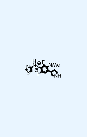 CNc1c(C2CCNC2)cc(F)c(S(=O)(=O)Nc2cscn2)c1F